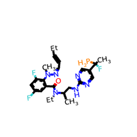 CCC#C/C=N\N(C)c1c(F)cc(F)cc1C(=O)N(CC)C(C)CNc1ncc(C(C)(F)P)cn1